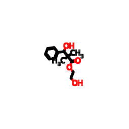 CC(C)(C(=O)OCCO)C(O)c1ccccc1